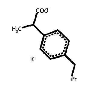 CC(C)Cc1ccc(C(C)C(=O)[O-])cc1.[K+]